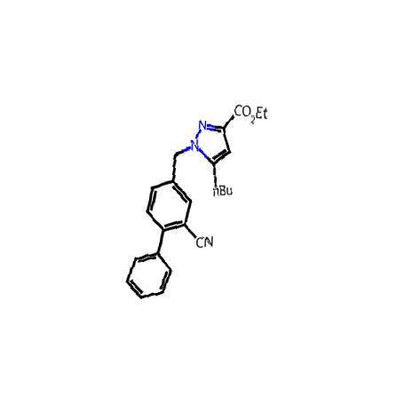 CCCCc1cc(C(=O)OCC)nn1Cc1ccc(-c2ccccc2)c(C#N)c1